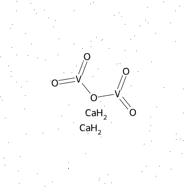 [CaH2].[CaH2].[O]=[V](=[O])[O][V](=[O])=[O]